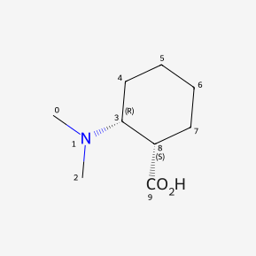 CN(C)[C@@H]1CCCC[C@@H]1C(=O)O